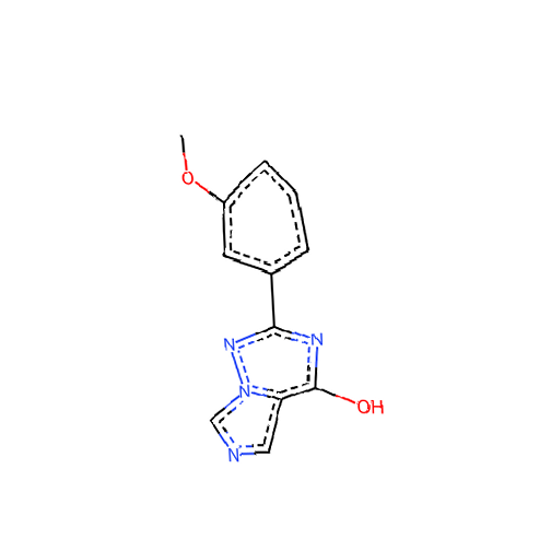 COc1cccc(-c2nc(O)c3cncn3n2)c1